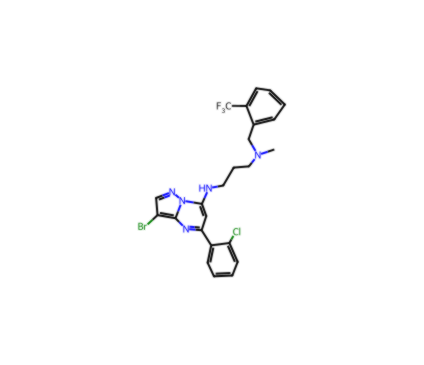 CN(CCCNc1cc(-c2ccccc2Cl)nc2c(Br)cnn12)Cc1ccccc1C(F)(F)F